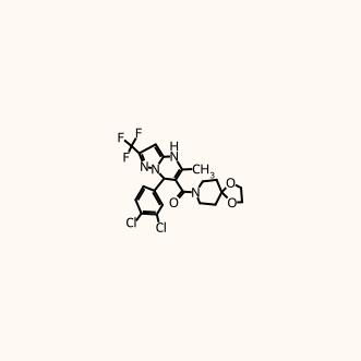 CC1=C(C(=O)N2CCC3(CC2)OCCO3)C(c2ccc(Cl)c(Cl)c2)n2nc(C(F)(F)F)cc2N1